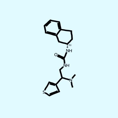 CN(C)C(CNC(=O)N[C@H]1CCc2ccccc2C1)c1ccsc1